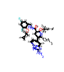 [2H]C([2H])([2H])Oc1nc(C)c(-c2ccn3nc(N)nc3c2)cc1C(=O)NCc1cc(F)cc(F)c1OC([2H])([2H])C1CC1